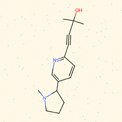 CN1CCCC1c1ccc(C#CC(C)(C)O)nc1